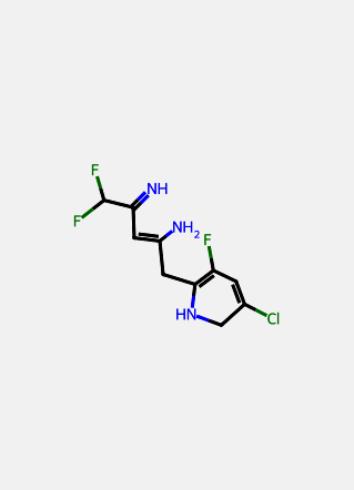 N=C(/C=C(\N)CC1=C(F)C=C(Cl)CN1)C(F)F